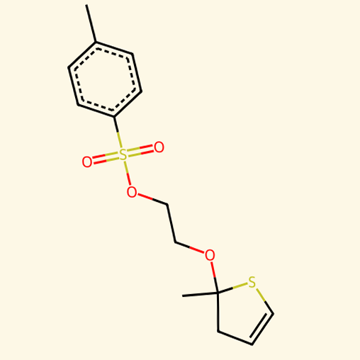 Cc1ccc(S(=O)(=O)OCCOC2(C)CC=CS2)cc1